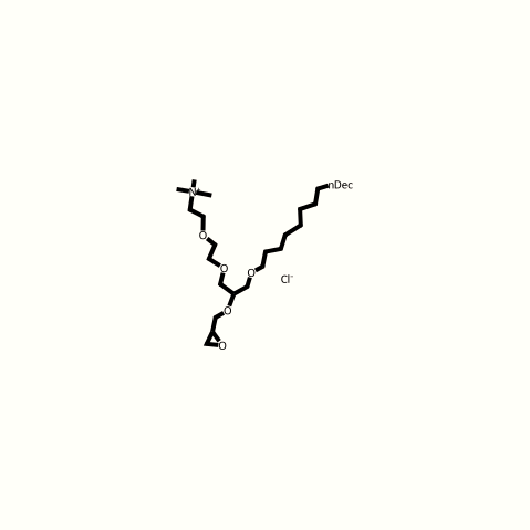 CCCCCCCCCCCCCCCCCCOCC(COCCOCC[N+](C)(C)C)OCC1CO1.[Cl-]